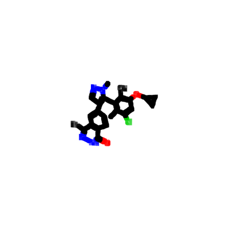 CCc1n[nH]c(=O)c2ccc(-c3cnn(C)c3-c3c(C)c(Cl)cc(OC4CC4)c3C#N)cc12